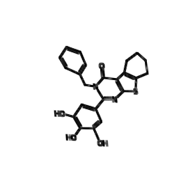 O=c1c2c3c(sc2nc(-c2cc(O)c(O)c(O)c2)n1Cc1ccccc1)CCCC3